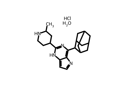 CC1CC(c2nc(C3C4CC5CC(C4)CC3C5)c3nccc-3[nH]2)CCN1.Cl.O